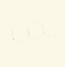 C=C(C)Cc1cccc(SC)c1